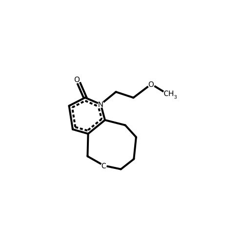 COCCn1c2c(ccc1=O)CCCCCC2